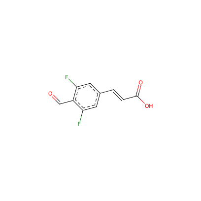 O=Cc1c(F)cc(C=CC(=O)O)cc1F